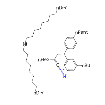 CCCCCCC(=C=[N+]=[N-])C=C(c1ccc(CCCCC)cc1)c1cccc(CCCC)c1.CCCCCCCCCCCCCCCCC[CH2][Ni][CH2]CCCCCCCCCCCCCCCCC